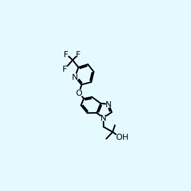 CC(C)(O)Cn1cnc2cc(Oc3cccc(C(F)(F)F)n3)ccc21